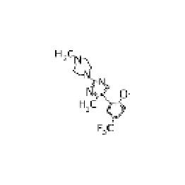 Cc1nc(N2CCN(C)CC2)ncc1-c1cc(C(F)(F)F)ccc1[O]